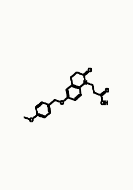 COc1ccc(COc2ccc3c(c2)CCC(=O)N3CCC(=O)O)cc1